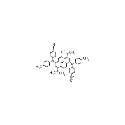 [C-]#[N+]c1ccc(N(c2ccc(C)cc2)c2cc(C(C)C)c3ccc4c(N(c5ccc(C)cc5)c5ccc(C#N)cc5)cc(C(C)C)c5ccc2c3c54)cc1